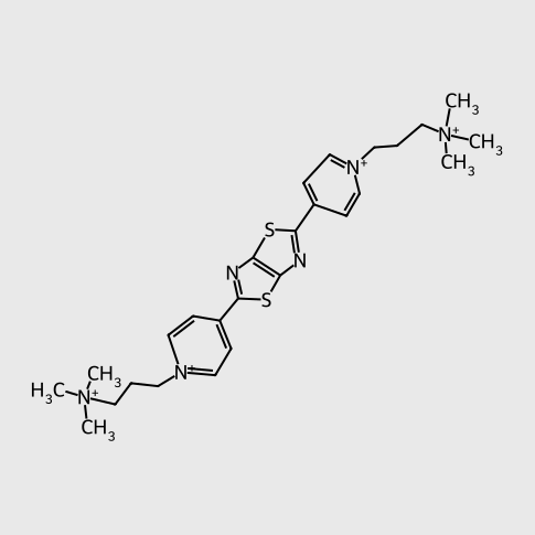 C[N+](C)(C)CCC[n+]1ccc(-c2nc3sc(-c4cc[n+](CCC[N+](C)(C)C)cc4)nc3s2)cc1